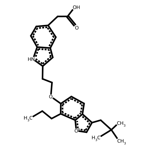 CCCc1c(OCCc2cc3cc(CC(=O)O)ccc3[nH]2)ccc2c(CC(C)(C)C)coc12